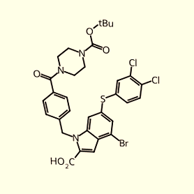 CC(C)(C)OC(=O)N1CCN(C(=O)c2ccc(Cn3c(C(=O)O)cc4c(Br)cc(Sc5ccc(Cl)c(Cl)c5)cc43)cc2)CC1